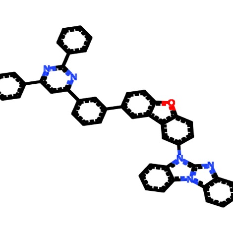 c1ccc(-c2cc(-c3cccc(-c4ccc5oc6ccc(-n7c8ccccc8n8c9ccccc9nc78)cc6c5c4)c3)nc(-c3ccccc3)n2)cc1